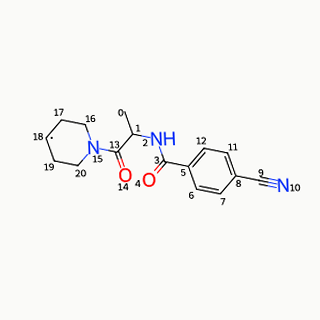 CC(NC(=O)c1ccc(C#N)cc1)C(=O)N1CC[CH]CC1